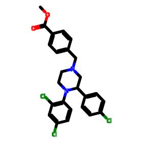 COC(=O)c1ccc(CN2CCN(c3ccc(Cl)cc3Cl)C(c3ccc(Cl)cc3)C2)cc1